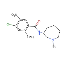 CCN1CCCCC(NC(=O)c2cc([N+](=O)[O-])c(Cl)cc2OC)C1